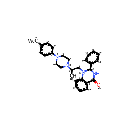 COc1ccc(N2CCN(C(C)CN3c4ccccc4C(=O)NC3c3ccccc3)CC2)cc1